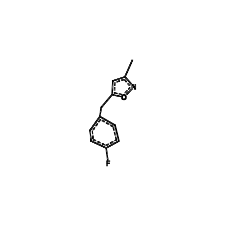 Cc1cc(Cc2ccc(F)cc2)on1